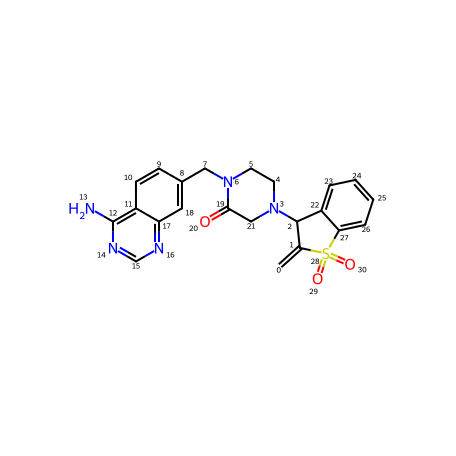 C=C1C(N2CCN(Cc3ccc4c(N)ncnc4c3)C(=O)C2)c2ccccc2S1(=O)=O